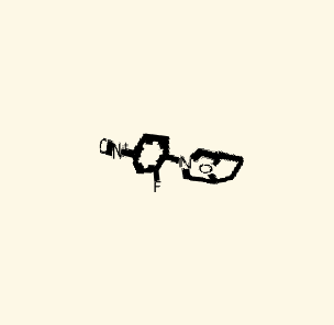 [C-]#[N+]c1ccc(N2CC3CCC(C2)O3)c(F)c1